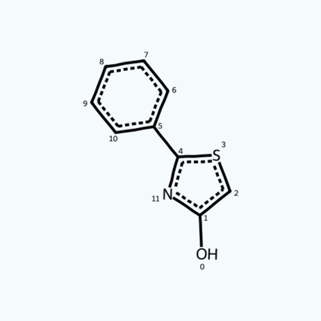 Oc1csc(-c2ccccc2)n1